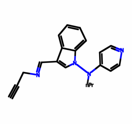 C#CCN=Cc1cn(N(CCC)c2ccncc2)c2ccccc12